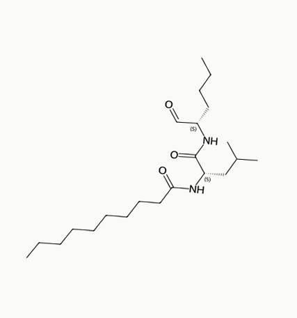 CCCCCCCCCC(=O)N[C@@H](CC(C)C)C(=O)N[C@H](C=O)CCCC